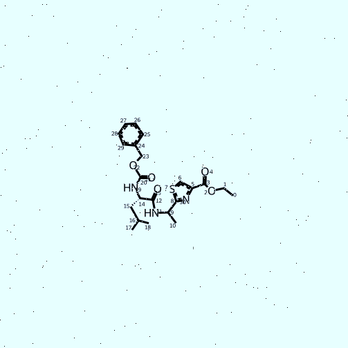 CCOC(=O)c1csc(C(C)NC(=O)[C@H](CC(C)C)NC(=O)OCc2ccccc2)n1